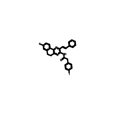 O=C(Cc1ccc(I)cc1)Nc1nc2c(nc1/C=C/c1ccccc1)-c1ccc(F)cc1CC2